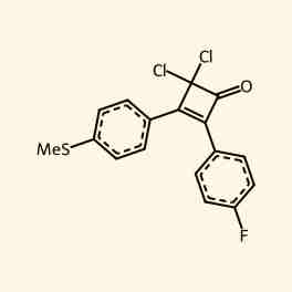 CSc1ccc(C2=C(c3ccc(F)cc3)C(=O)C2(Cl)Cl)cc1